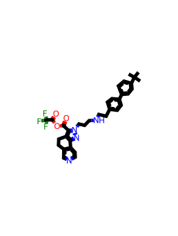 CC(C)(C)c1ccc(-c2ccc(CCNCCCn3nc4c(c3C(=O)OC(=O)C(F)(F)F)CCc3cnccc3-4)cc2)cc1